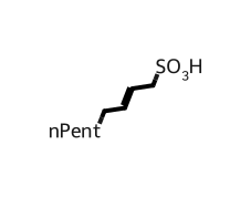 CCCCCCC=CCS(=O)(=O)O